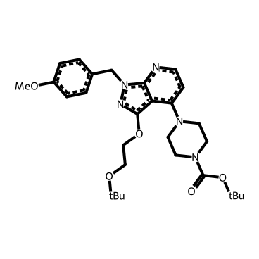 COc1ccc(Cn2nc(OCCOC(C)(C)C)c3c(N4CCN(C(=O)OC(C)(C)C)CC4)ccnc32)cc1